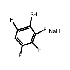 Fc1cc(F)c(S)c(F)c1F.[NaH]